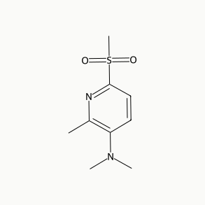 Cc1nc(S(C)(=O)=O)ccc1N(C)C